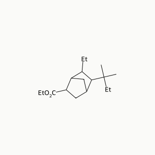 CCOC(=O)C1CC2CC1C(CC)C2C(C)(C)CC